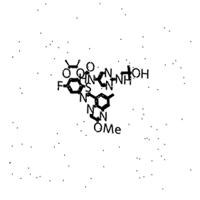 COc1cnc2c(-c3nc4cc(F)c(O[C@@H](C)[C@@H](C)OC(=O)Nc5cnc(NCC(C)(C)O)nc5)cc4s3)cc(C)cc2n1